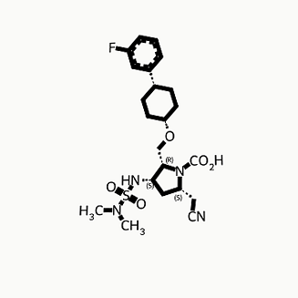 CN(C)S(=O)(=O)N[C@H]1C[C@@H](CC#N)N(C(=O)O)[C@H]1CO[C@H]1CC[C@@H](c2cccc(F)c2)CC1